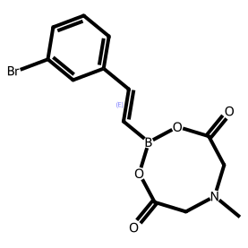 CN1CC(=O)OB(/C=C/c2cccc(Br)c2)OC(=O)C1